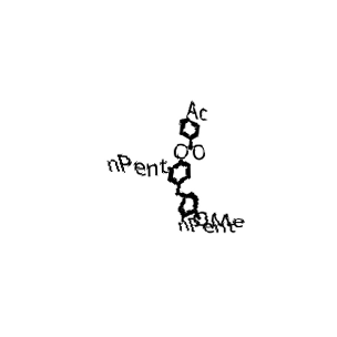 CCCCCc1cc(Cc2ccc(OC(=O)c3ccc(C(C)=O)cc3)c(CCCCC)c2)ccc1OC